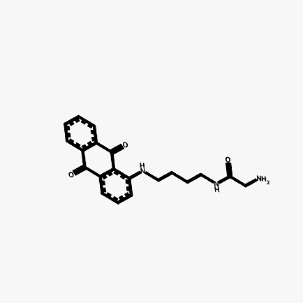 NCC(=O)NCCCCNc1cccc2c1C(=O)c1ccccc1C2=O